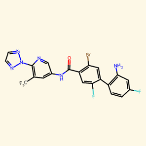 Nc1cc(F)ccc1-c1cc(Br)c(C(=O)Nc2cnc(-n3nccn3)c(C(F)(F)F)c2)cc1F